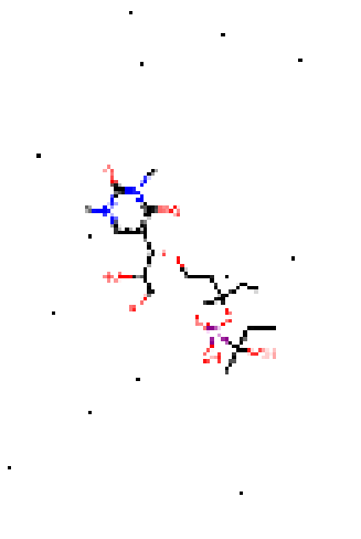 CCC(C)(CCO[C@@H](c1cn(C)c(=O)n(C)c1=O)[C@H](O)CO)OP(=O)(O)C(C)(O)CC